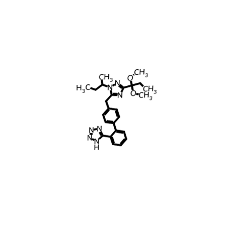 CCC(C)n1nc(C(CC)(OC)OC)nc1Cc1ccc(-c2ccccc2-c2nnn[nH]2)cc1